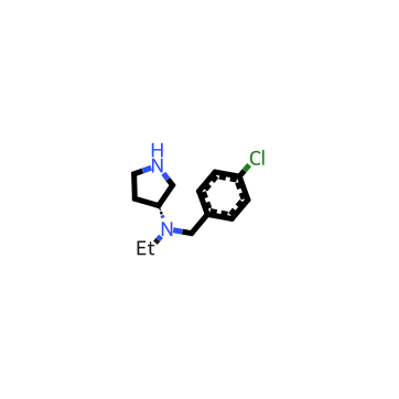 CCN(Cc1ccc(Cl)cc1)[C@@H]1CCNC1